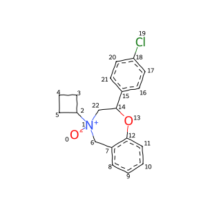 [O-][N+]1(C2CCC2)Cc2ccccc2OC(c2ccc(Cl)cc2)C1